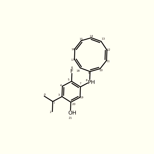 CC(C)c1cc(F)c(Pc2ccccccccc2)cc1O